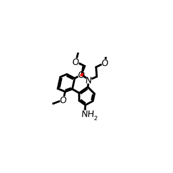 COCCN(CCOC)c1ccc(N)cc1-c1c(OC)cccc1OC